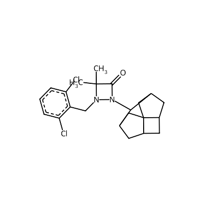 CC1(C)C(=O)N(C2C3CC4CC5CC2CC45C3)N1Cc1c(Cl)cccc1Cl